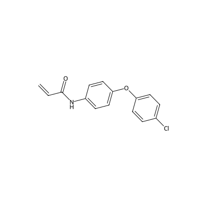 C=CC(=O)Nc1ccc(Oc2ccc(Cl)cc2)cc1